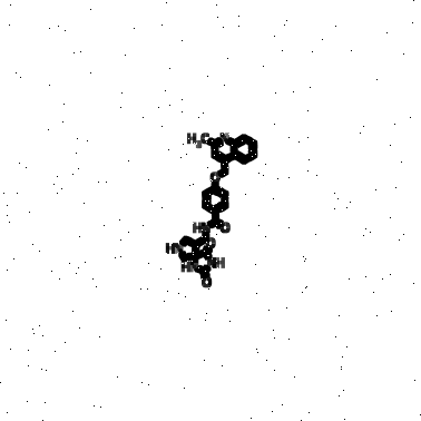 Cc1cc(COc2ccc(C(=O)NCC3CNCC34NC(=O)NC4=O)cc2)c2ccccc2n1